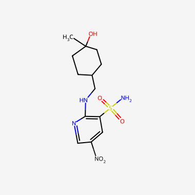 CC1(O)CCC(CNc2ncc([N+](=O)[O-])cc2S(N)(=O)=O)CC1